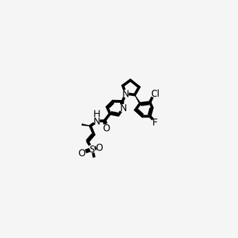 C[C@H](/C=C/S(C)(=O)=O)NC(=O)c1ccc(N2CCC[C@H]2c2ccc(F)cc2Cl)nc1